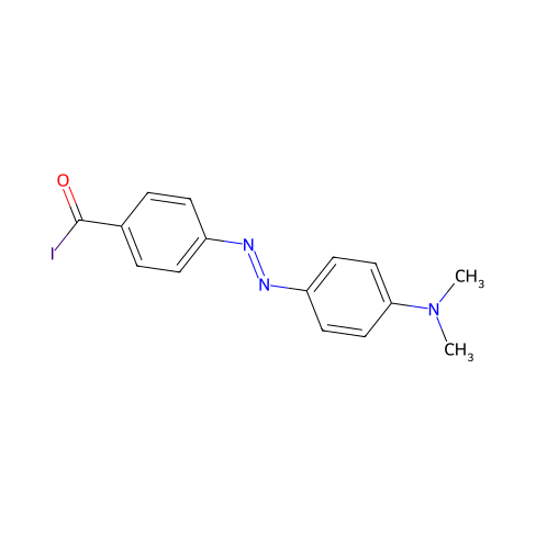 CN(C)c1ccc(/N=N/c2ccc(C(=O)I)cc2)cc1